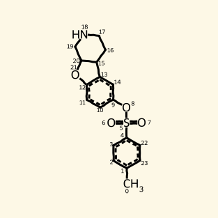 Cc1ccc(S(=O)(=O)Oc2ccc3c(c2)C2CCNCC2O3)cc1